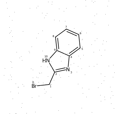 Br[CH]c1nc2ccccc2[nH]1